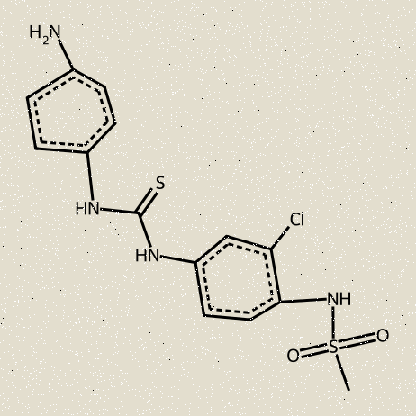 CS(=O)(=O)Nc1ccc(NC(=S)Nc2ccc(N)cc2)cc1Cl